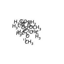 CCOC(C)C(OC)(OCC)[Si]1(C)O[SiH2]O[Si](C)(C)O1